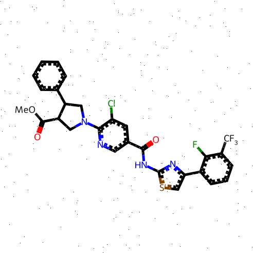 COC(=O)C1CN(c2ncc(C(=O)Nc3nc(-c4cccc(C(F)(F)F)c4F)cs3)cc2Cl)CC1c1ccccc1